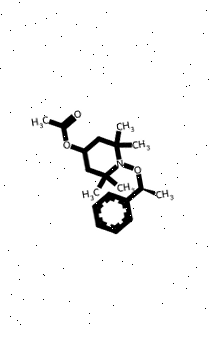 CC(=O)OC1CC(C)(C)N(O[C@@H](C)c2ccccc2)C(C)(C)C1